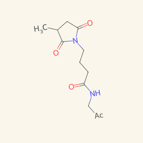 CC(=O)CNC(=O)CCCN1C(=O)CC(C)C1=O